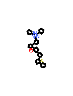 c1ccc(-c2nc(-c3ccccc3)nc(-c3cccc(-c4cccc5oc6cc(-c7cccc(-c8cccc9c8sc8ccccc89)c7)ccc6c45)c3)n2)cc1